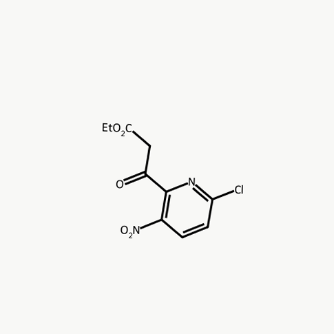 CCOC(=O)CC(=O)c1nc(Cl)ccc1[N+](=O)[O-]